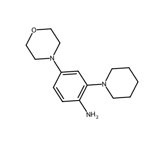 Nc1ccc(N2CCOCC2)cc1N1CCCCC1